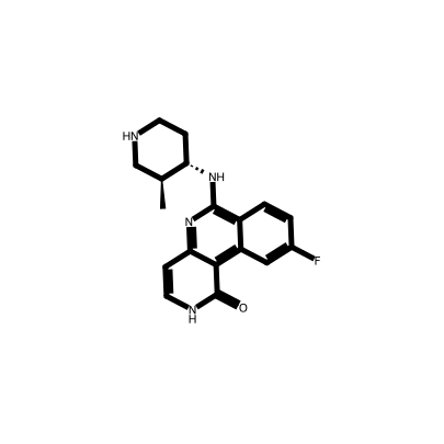 C[C@H]1CNCC[C@@H]1Nc1nc2cc[nH]c(=O)c2c2cc(F)ccc12